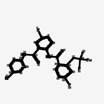 O=C(Nc1ccc(F)cc1C(=O)Nc1ccc(Cl)cn1)c1ccc(F)cc1CC(F)(F)F